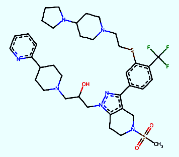 CS(=O)(=O)N1CCc2c(c(-c3ccc(C(F)(F)F)c(SCCN4CCC(N5CCCC5)CC4)c3)nn2CC(O)CN2CCC(c3ccccn3)CC2)C1